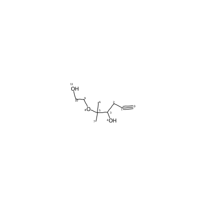 C#CCC(O)C(C)(C)OCCO